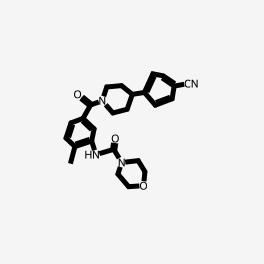 Cc1ccc(C(=O)N2CCC(c3ccc(C#N)cc3)CC2)cc1NC(=O)N1CCOCC1